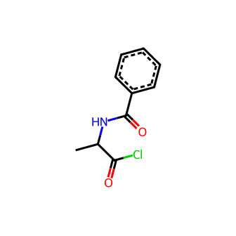 CC(NC(=O)c1ccccc1)C(=O)Cl